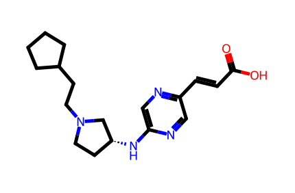 O=C(O)/C=C/c1cnc(N[C@@H]2CCN(CCC3CCCC3)C2)cn1